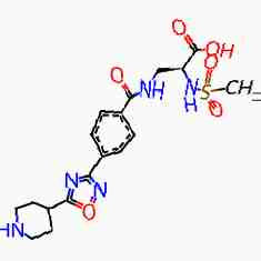 CS(=O)(=O)N[C@@H](CNC(=O)c1ccc(-c2noc(C3CCNCC3)n2)cc1)C(=O)O